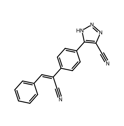 N#CC(=Cc1ccccc1)c1ccc(-c2[nH]nnc2C#N)cc1